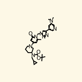 Cc1cc(N2CCC[C@@H](N(CC3CC3)C(=O)OC(C)(C)C)C2)cc(=O)n1Cn1cc(-c2cncc(N(C)C)c2)nn1